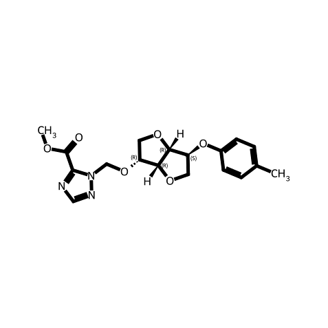 COC(=O)c1ncnn1CO[C@@H]1CO[C@H]2[C@@H]1OC[C@@H]2Oc1ccc(C)cc1